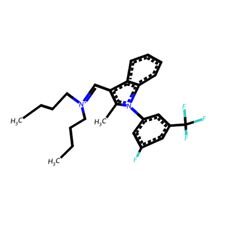 CCCC[N+](=Cc1c(C)n(-c2cc(F)cc(C(F)(F)F)c2)c2ccccc12)CCCC